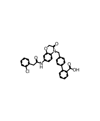 O=C(Cc1ccccc1Cl)Nc1ccc2c(c1)OCC(=O)N2Cc1ccc(-c2ccccc2C(=O)O)cc1